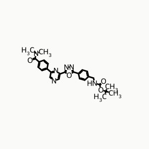 CN(C)C(=O)c1ccc(-c2cncc(-c3nnc(-c4ccc(CNC(=O)OC(C)(C)C)cc4)o3)n2)cc1